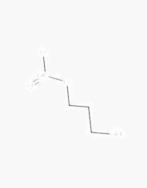 CCCCCCO[PH]([O])=O